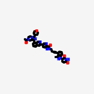 CC(=O)N1CCn2c(C3CCOCC3)nc(-c3cccc4cc(-c5ccc(C(=O)NCCC#Cc6cccc7c6c(C)nn7C6CCC(=O)NC6=O)nc5)ncc34)c2C1